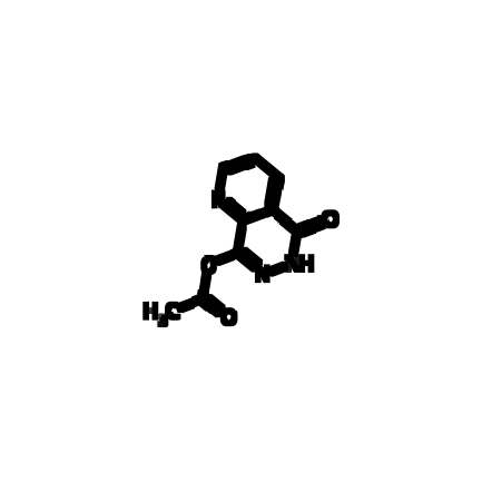 CC(=O)Oc1n[nH]c(=O)c2cccnc12